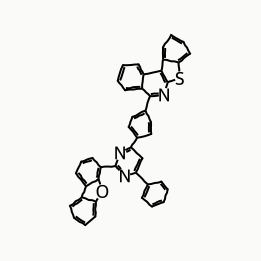 c1ccc(-c2cc(-c3ccc(-c4nc5sc6ccccc6c5c5ccccc45)cc3)nc(-c3cccc4c3oc3ccccc34)n2)cc1